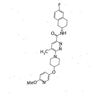 COc1ccc(OC2CCN(c3nnc(C(=O)N[C@@H]4CCc5cc(F)ccc5C4)cc3C)CC2)cn1